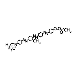 C=CC(=O)OCOc1ccc(N=Nc2ccc(N=Nc3ccc(N=Nc4ccc(N(CC)CC)cc4)cc3C)cc2)cc1